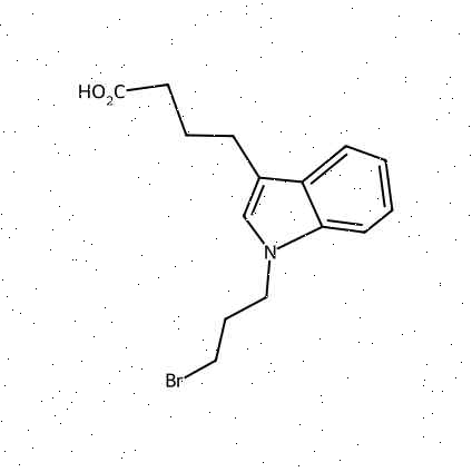 O=C(O)CCCc1cn(CCCBr)c2ccccc12